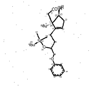 CCCC[C@@]1(CC(=O)O)C(CCC(COc2ccccc2)O[Si](C)(C)C(C)(C)C)=CC[C@@H]1O